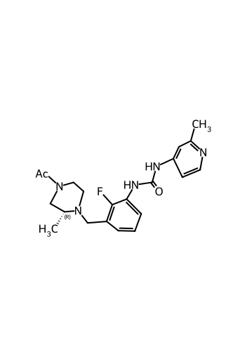 CC(=O)N1CCN(Cc2cccc(NC(=O)Nc3ccnc(C)c3)c2F)[C@H](C)C1